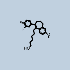 COc1ccc2c(c1)CCCC(c1ccc(F)c(F)c1)=C2CCCCCCO